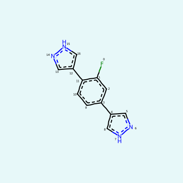 Fc1cc(-c2cn[nH]c2)ccc1-c1cn[nH]c1